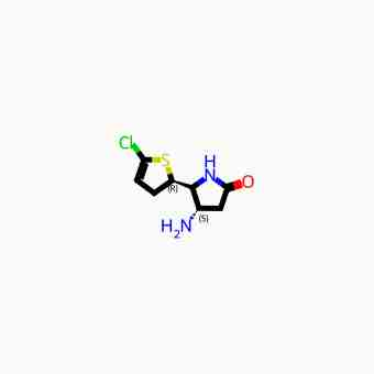 N[C@H]1CC(=O)NC1[C@H]1CC=C(Cl)S1